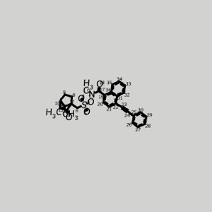 CN(OS(=O)(=O)CC12CCC(CC1=O)C2(C)C)C(=O)c1ccc(C#Cc2ccccc2)c2ccccc12